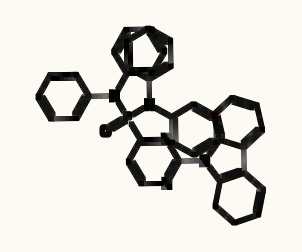 O=P(c1ccnc(-n2c3c(c4ccccc42)C=CCC3)n1)(N(c1ccccc1)c1ccccc1)N(c1ccccc1)c1ccccc1